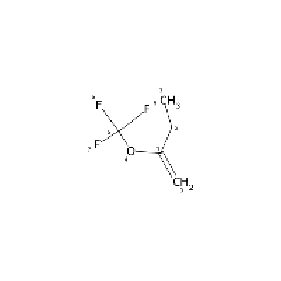 C=C(CC)OC(F)(F)F